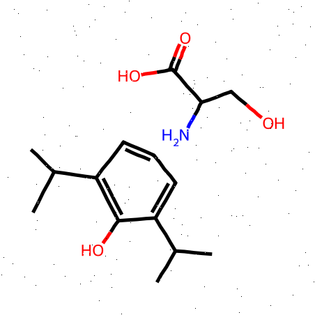 CC(C)c1cccc(C(C)C)c1O.NC(CO)C(=O)O